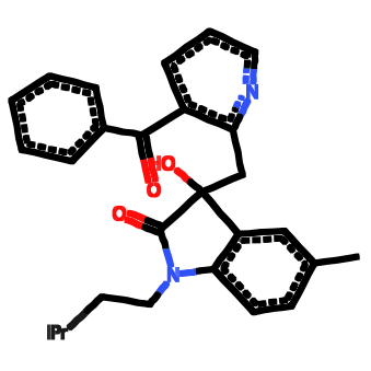 Cc1ccc2c(c1)C(O)(Cc1ncccc1C(=O)c1ccccc1)C(=O)N2CCC(C)C